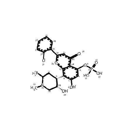 BC1C[C@H](c2c(O)cc(OP(=O)(O)O)c3c(=O)cc(-c4ccccc4Cl)oc23)[C@H](O)CN1C